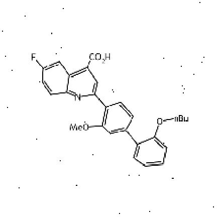 CCCCOc1ccccc1-c1ccc(-c2cc(C(=O)O)c3cc(F)ccc3n2)c(OC)c1